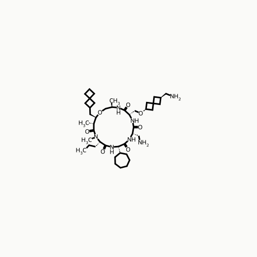 CCC[C@H]1C(=O)N[C@@H](C2CCCCCC2)C(=O)N[C@@H](CN)C(=O)N[C@@H](CO[C@H]2CC3(C[C@H](CN)C3)C2)C(=O)N[C@H](C)CO[C@H](CC2CC3(CCC3)C2)[C@@H](C)C(=O)N1C